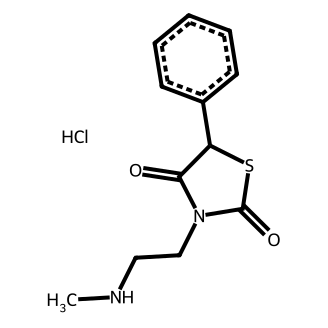 CNCCN1C(=O)SC(c2ccccc2)C1=O.Cl